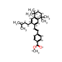 COC(=O)c1ccc(C=Cc2cc3c(cc2CCC(C)C)C(C)(C)CCC3(C)C)cc1